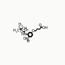 CC(C)(C)OC(=O)Nc1cc(OCCCC(=O)O)ccc1[N+](=O)[O-]